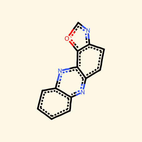 c1ccc2nc3c(ccc4ncoc43)nc2c1